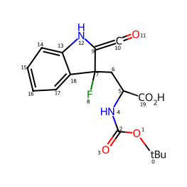 CC(C)(C)OC(=O)NC(CC1(F)C(=C=O)Nc2ccccc21)C(=O)O